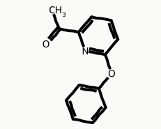 CC(=O)c1cccc(Oc2ccccc2)n1